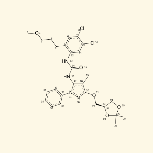 COCCCc1cc(Cl)c(Cl)cc1NC(=O)Nc1c(C)c(OC[C@H]2COC(C)(C)O2)nn1-c1ccccc1